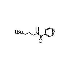 CC(C)(C)CCCNC(=O)c1ccncc1